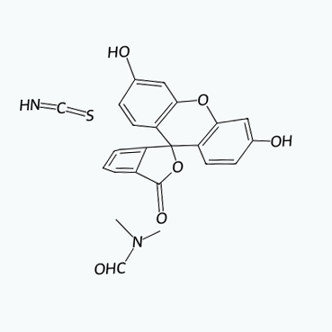 CN(C)C=O.N=C=S.O=C1OC2(c3ccc(O)cc3Oc3cc(O)ccc32)c2ccccc21